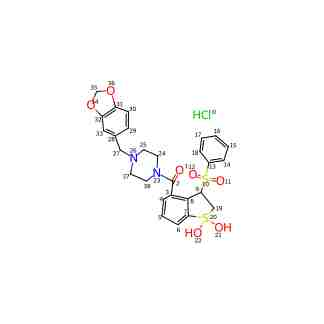 Cl.O=C(c1cccc2c1C(S(=O)(=O)c1ccccc1)CS2(O)O)N1CCN(Cc2ccc3c(c2)OCO3)CC1